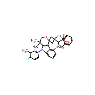 Cc1cc(-n2c3c(c4c(OCc5ccccc5)cccc42)C2(CC(C)(C(C)C(=O)O)C2)OCC3(C)C)ccc1F